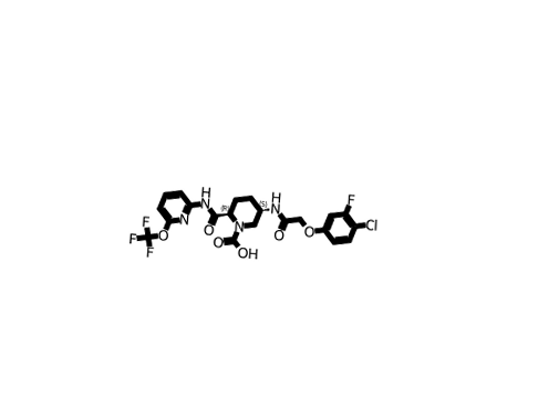 O=C(COc1ccc(Cl)c(F)c1)N[C@H]1CC[C@H](C(=O)Nc2cccc(OC(F)(F)F)n2)N(C(=O)O)C1